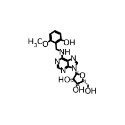 COc1cccc(O)c1CNc1ncnc2c1ncn2[C@@H]1O[C@H](CO)[C@@H](O)[C@@H]1O